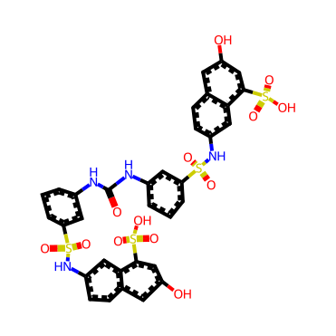 O=C(Nc1cccc(S(=O)(=O)Nc2ccc3cc(O)cc(S(=O)(=O)O)c3c2)c1)Nc1cccc(S(=O)(=O)Nc2ccc3cc(O)cc(S(=O)(=O)O)c3c2)c1